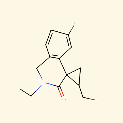 CCN1Cc2ccc(Cl)cc2C2(CC2CO)C1=O